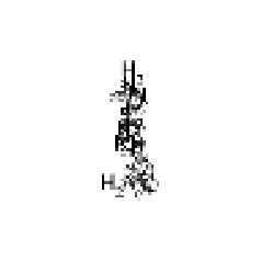 C[C@@H]1OCC2(CCN(c3cnc4nc(Sc5ccnc(N)c5F)ccc4n3)CC2)[C@@H]1N